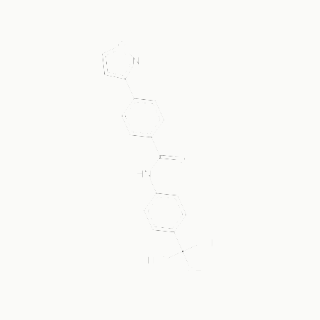 CC(C)(C)c1ccc(NC(=O)c2ccc(-c3ccon3)cc2)cc1